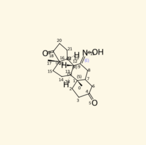 C[C@]12CCC(=O)CC1C/C(=N\O)[C@@H]1[C@@H]2CC[C@]2(C)C(=O)CC[C@@H]12